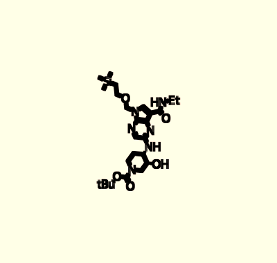 CCNC(=O)c1cn(COCC[Si](C)(C)C)c2ncc(N[C@H]3CCN(C(=O)OC(C)(C)C)C[C@@H]3O)nc12